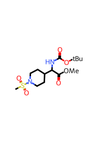 COC(=O)C(NC(=O)OC(C)(C)C)C1CCN(S(C)(=O)=O)CC1